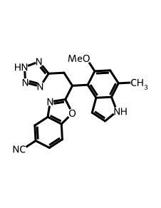 COc1cc(C)c2[nH]ccc2c1C(Cc1nn[nH]n1)c1nc2cc(C#N)ccc2o1